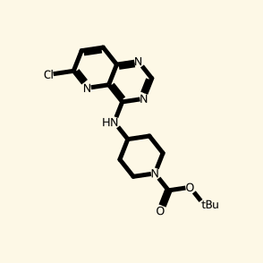 CC(C)(C)OC(=O)N1CCC(Nc2ncnc3ccc(Cl)nc23)CC1